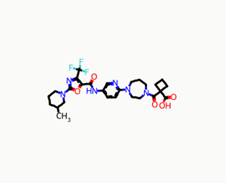 CC1CCCN(c2nc(C(F)(F)F)c(C(=O)Nc3ccc(N4CCCN(C(=O)C5(C(=O)O)CCC5)CC4)nc3)o2)C1